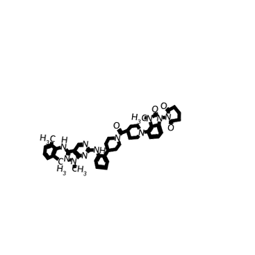 Cc1cccc(C)c1Nc1nn(C)c2nc(Nc3ccccc3C3CCN(C(=O)C4CCN(c5cccc6c5n(C)c(=O)n6N5C(=O)CCCC5=O)CC4)CC3)ncc12